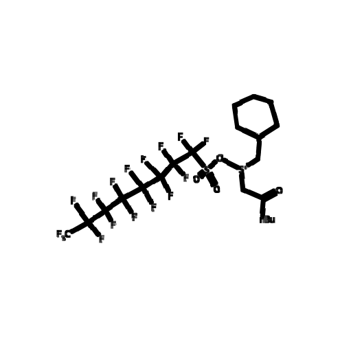 CCCCC(=O)C[S+](CC1CCCCC1)OS(=O)(=O)C(F)(F)C(F)(F)C(F)(F)C(F)(F)C(F)(F)C(F)(F)C(F)(F)C(F)(F)F